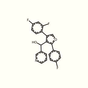 OC(c1cccnc1)c1c(-c2ccc(F)cc2F)coc1-c1ccc(F)cc1